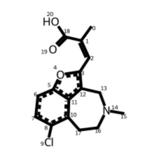 CC(=Cc1oc2ccc(Cl)c3c2c1CN(C)CC3)C(=O)O